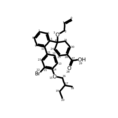 C=CCOC1(c2ccccc2-c2ccc(OCC(C)CC)c(Br)c2)C=CC(C(=O)O)=CC1